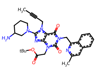 CC#CCn1c(N2CCCC(N)C2)nc2c1c(=O)n(Cc1nc(C)cc3ccccc13)c(=O)n2CC(=O)OC(C)(C)C